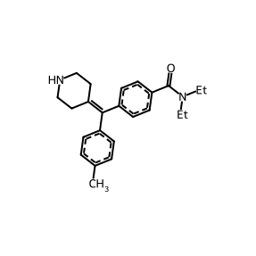 CCN(CC)C(=O)c1ccc(C(=C2CCNCC2)c2ccc(C)cc2)cc1